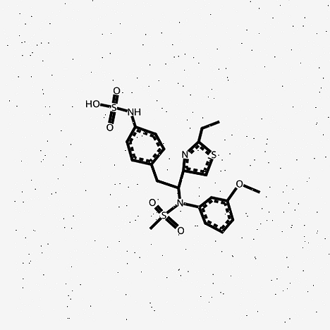 CCc1nc(C(Cc2ccc(NS(=O)(=O)O)cc2)N(c2cccc(OC)c2)S(C)(=O)=O)cs1